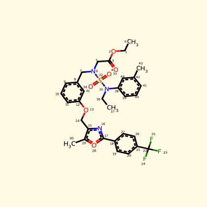 CCOC(=O)CN(Cc1cccc(OCc2nc(-c3ccc(C(F)(F)F)cc3)oc2C)c1)S(=O)(=O)N(CC)c1cccc(C)c1